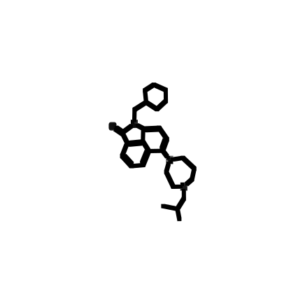 CC(C)CN1CCCN(c2ccc3c4c(cccc24)C(=O)N3CC2CCCCC2)CC1